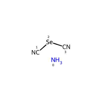 N.N#C[Se]C#N